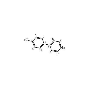 Fc1ccc(-c2c[c]ncc2)cc1